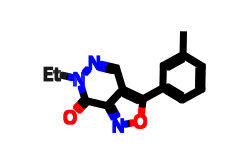 CCn1ncc2c(-c3cccc(C)c3)onc2c1=O